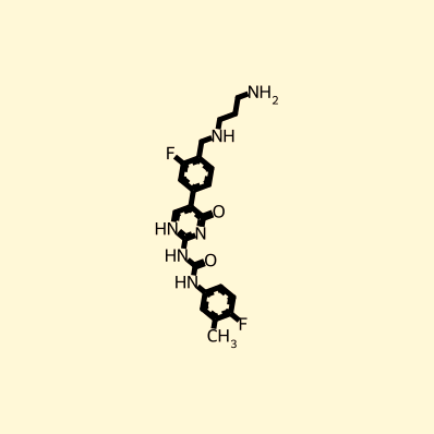 Cc1cc(NC(=O)Nc2nc(=O)c(-c3ccc(CNCCCN)c(F)c3)c[nH]2)ccc1F